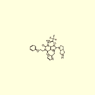 O=C(ON1c2c(c(=O)n(CCOc3ccccc3)c(=O)n2C2CC2)N(Cc2ncco2)C1N1CCC2CNCC21)C(F)(F)F